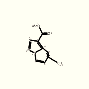 COC(=O)c1nnn2ccc(C)cc12